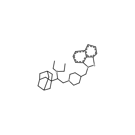 CCN(CC)C(CN1CCC(CN2Sc3cccc4cccc2c34)CC1)C12CC3CC(CC(C3)C1)C2